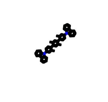 Cc1cc(-n2c3ccccc3c3ccccc32)ccc1-c1cc(C)c(-c2ccc(-n3c4ccccc4c4ccccc43)cc2C)cc1C